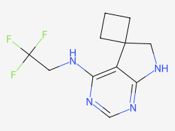 FC(F)(F)CNc1ncnc2c1C1(CCC1)CN2